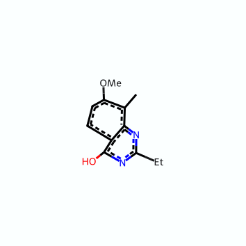 CCc1nc(O)c2ccc(OC)c(C)c2n1